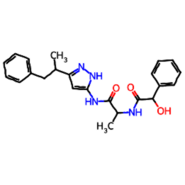 CC(NC(=O)C(O)c1ccccc1)C(=O)Nc1cc(C(C)Cc2ccccc2)n[nH]1